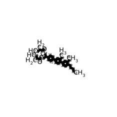 C=C(CO)C(=O)OCC(COC(=O)C(=C)CO)c1ccc(-c2ccc(-c3ccc(CCCCC)c(CC)c3)c(CC)c2)cc1